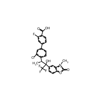 C[C@@H](c1ccc(-c2ccc(C(=O)O)c(F)c2)cc1Cl)[C@](O)(c1ccc2oc(=O)n(C)c2c1)C(F)(F)F